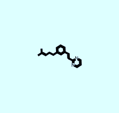 CC(C)=CCCc1cccc(C=Cc2ncccn2)c1